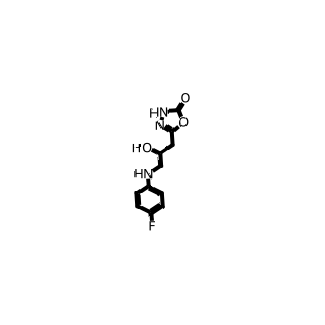 O=c1[nH]nc(CC(O)CNc2ccc(F)cc2)o1